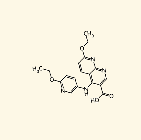 CCOc1ccc(Nc2c(C(=O)O)cnc3nc(OCC)ccc23)cn1